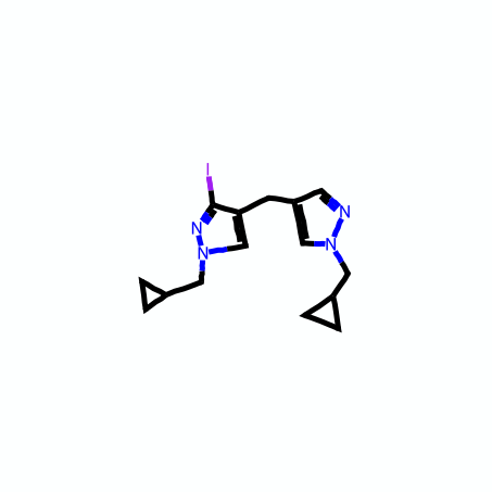 Ic1nn(CC2CC2)cc1Cc1cnn(CC2CC2)c1